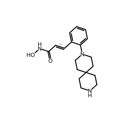 O=C(/C=C/c1ccccc1N1CCC2(CCNCC2)CC1)NO